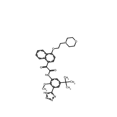 COc1c(NC(=O)C(=O)c2ccc(OCCN3CCOCC3)c3ccccc23)cc(C(C)(C)C)cc1-c1nnn[nH]1